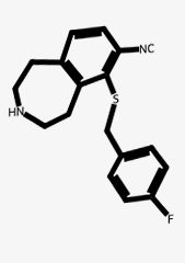 [C-]#[N+]c1ccc2c(c1SCc1ccc(F)cc1)CCNCC2